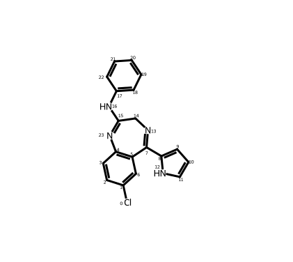 Clc1ccc2c(c1)C(c1ccc[nH]1)=NCC(Nc1ccccc1)=N2